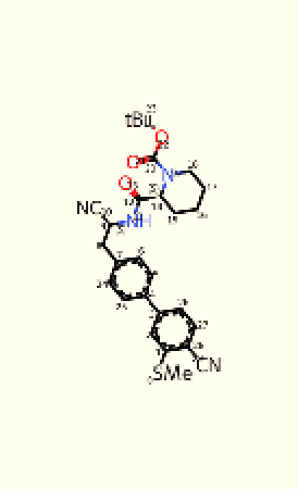 CSc1cc(-c2ccc(C[C@@H](C#N)NC(=O)[C@@H]3CCCCN3C(=O)OC(C)(C)C)cc2)ccc1C#N